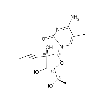 CC#C[C@@]1(O)C(O)[C@@H]([C@@H](C)O)O[C@H]1n1cc(F)c(N)nc1=O